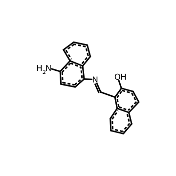 Nc1ccc(/N=C/c2c(O)ccc3ccccc23)c2ccccc12